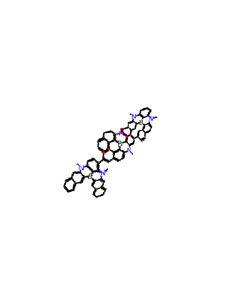 CN1c2cc3ccccc3cc2B2c3c1cccc3N(C)c1ccc3ccc(-c4cc5c6c(c4)N(C)c4ccc7cc(-c8ccc9c%10c8N(C)c8cc%11ccccc%11cc8B%10c8cc%10ccccc%10cc8N9C)ccc7c4B6c4c(ccc6ccccc46)N5C)cc3c12